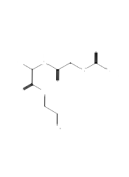 CC(NC(=O)CNC(N)=O)C(=O)OCCO